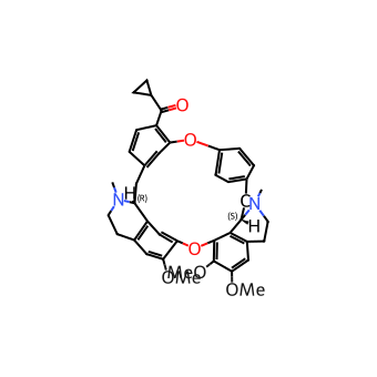 COc1cc2c3cc1Oc1c(OC)c(OC)cc4c1[C@H](Cc1ccc(cc1)Oc1cc(ccc1C(=O)C1CC1)C[C@H]3N(C)CC2)N(C)CC4